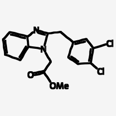 COC(=O)Cn1c(Cc2ccc(Cl)c(Cl)c2)nc2ccccc21